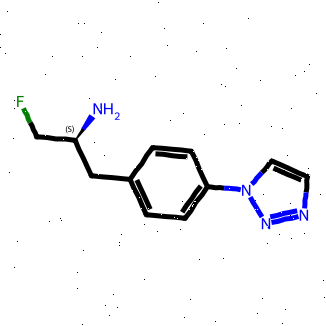 N[C@H](CF)Cc1ccc(-n2ccnn2)cc1